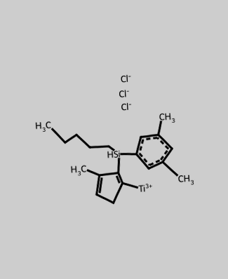 CCCCC[SiH](C1=[C]([Ti+3])CC=C1C)c1cc(C)cc(C)c1.[Cl-].[Cl-].[Cl-]